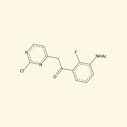 CC(=O)Nc1cccc(C(=O)Cc2ccnc(Cl)n2)c1F